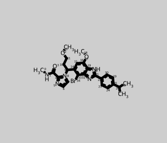 CNC(=O)c1nccn1C(CCOC)c1cc(OC)c2[nH]c(-c3ccc(C(C)C)cc3)nc2c1Br